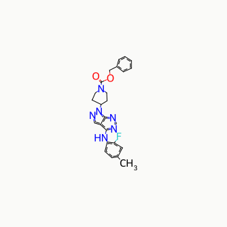 Cc1ccc(Nc2ncnc3c2cnn3C2CCN(C(=O)OCc3ccccc3)CC2)c(F)c1